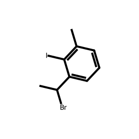 Cc1cccc(C(C)Br)c1I